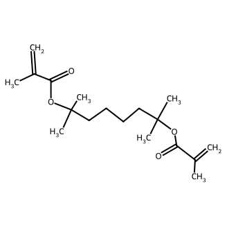 C=C(C)C(=O)OC(C)(C)CCCCC(C)(C)OC(=O)C(=C)C